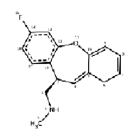 CNC[C@@H]1C=C2CC=CC=C2Oc2cc(F)ccc21